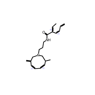 C=C/C=C\C(=C/C)C(=O)NCCCN1CC(=C)/C=C\C=C/C(C)C1